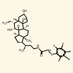 CC[C@H]1[C@@H](O)[C@@H]2[C@H](CC[C@]3(C)[C@@H]([C@H](C)CCNC(=O)NSc4c(F)c(F)c(F)c(F)c4F)CC[C@@H]23)[C@@]2(C)CC[C@@H](O)C[C@@H]12